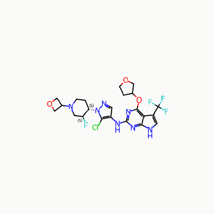 F[C@H]1CN(C2COC2)CC[C@@H]1n1ncc(Nc2nc(OC3CCOC3)c3c(C(F)(F)F)c[nH]c3n2)c1Cl